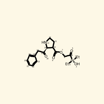 CC[N+](O)(CC)C(=O)COC(=O)C1CCN[C@@H]1C(=O)[CH]c1ccccc1